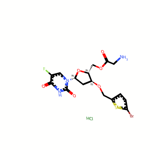 Cl.NCC(=O)OC[C@H]1O[C@@H](n2cc(F)c(=O)[nH]c2=O)C[C@@H]1OCc1ccc(Br)s1